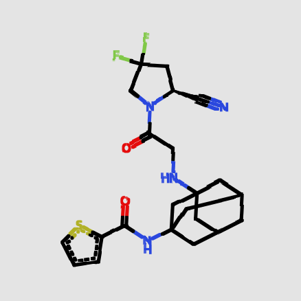 N#C[C@@H]1CC(F)(F)CN1C(=O)CNC12CC3CC(C1)CC(NC(=O)c1cccs1)(C3)C2